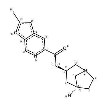 O=C(N[C@@H]1C[C@@H]2CCN(C2)C1)c1cc2cc(I)oc2cn1